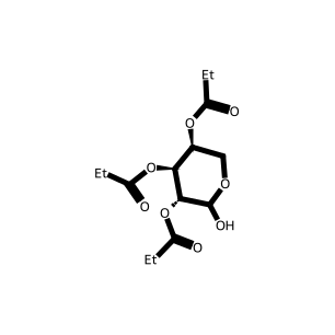 CCC(=O)O[C@H]1[C@@H](OC(=O)CC)COC(O)[C@@H]1OC(=O)CC